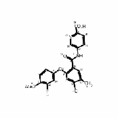 COc1ccc(Oc2cc(Cl)c(C)cc2C(=O)Nc2ccc(C(=O)O)nc2)cc1F